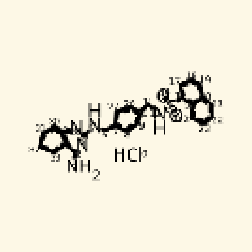 Cl.Nc1nc(NCc2ccc(CNS(=O)(=O)c3cccc4ccccc34)cc2)nc2ccccc12